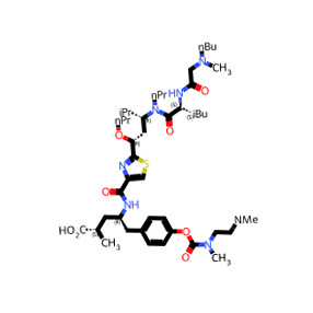 CCCCN(C)CC(=O)N[C@H](C(=O)N(CCC)[C@H](C[C@@H](OCCC)c1nc(C(=O)N[C@@H](Cc2ccc(OC(=O)N(C)CCNC)cc2)C[C@H](C)C(=O)O)cs1)C(C)C)[C@@H](C)CC